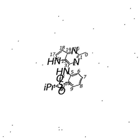 Cc1nc(Nc2ccccc2S(=O)(=O)C(C)C)c2[nH]ccc2n1